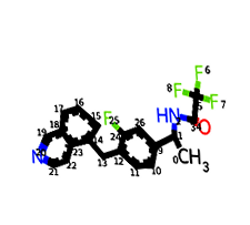 CC(NC(=O)C(F)(F)F)c1ccc(Cc2cccc3cnccc23)c(F)c1